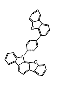 c1ccc2c(c1)oc1c(-c3ccc(-n4c5ccccc5c5ccc6c7ccccc7oc6c54)cc3)cccc12